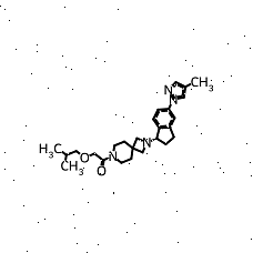 Cc1cnn(-c2ccc3c(c2)CC[C@H]3N2CC3(CCN(C(=O)COCC(C)C)CC3)C2)c1